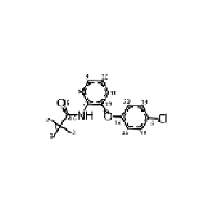 CC(C)(C)C(=O)Nc1ccccc1Oc1ccc(Cl)cc1